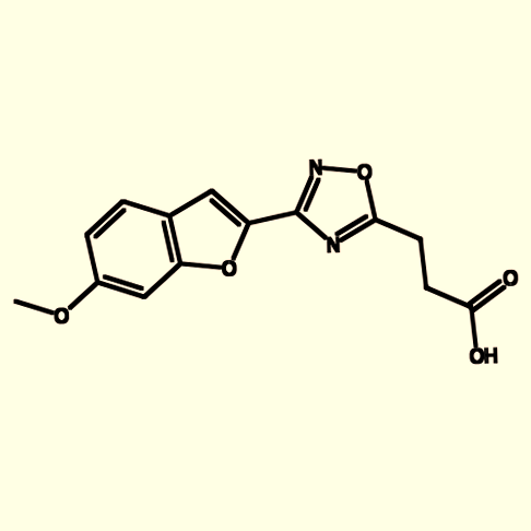 COc1ccc2cc(-c3noc(CCC(=O)O)n3)oc2c1